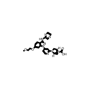 COCCOc1ccc2c(Nc3cnccn3)nn(-c3ccnc(N4C[C@@H]5C[C@H]4CN5C(=O)O)c3)c2c1